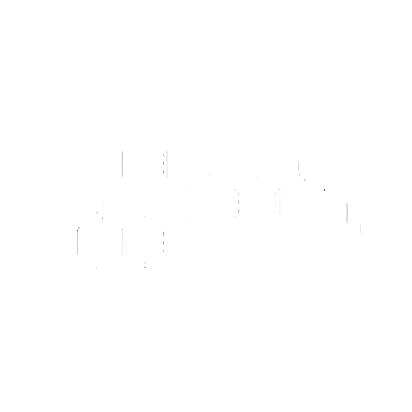 CC(C)(CO)Nc1ccc2c(c1)SC(c1ccccc1)C(c1ccc3c(c1)NC(=O)CO3)=C2